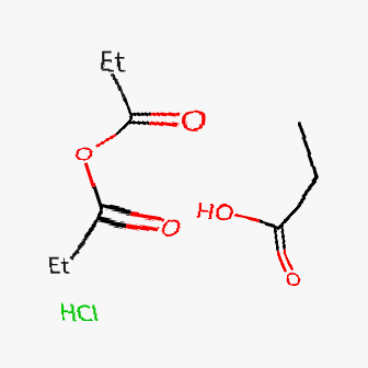 CCC(=O)O.CCC(=O)OC(=O)CC.Cl